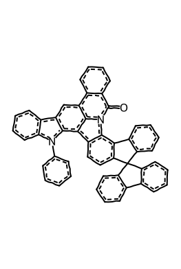 O=c1c2ccccc2c2cc3c4ccccc4n(-c4ccccc4)c3c3c4ccc5c(c4n1c23)-c1ccccc1C51c2ccccc2-c2ccccc21